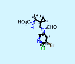 CC(C)(C)C(NC(=O)O)C1(CN(C=O)c2cnc(Cl)c(Br)c2)CC1